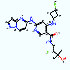 CC(C)(O)[C@H](F)CNC(=O)c1cnc(Nc2ccn3nccc3n2)cc1NC1CC(F)C1